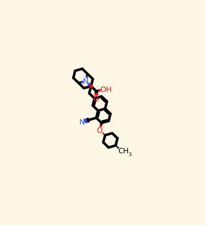 C[C@H]1CC[C@@H](Oc2ccc3ccc(CCN4C5CCCC4CC(C(=O)O)C5)cc3c2C#N)CC1